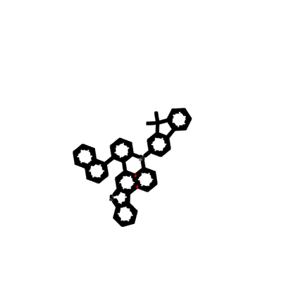 CC1(C)c2ccccc2-c2ccc(N(c3ccccc3)c3cccc(-c4cccc5ccccc45)c3-c3ccc4c(c3)sc3ccccc34)cc21